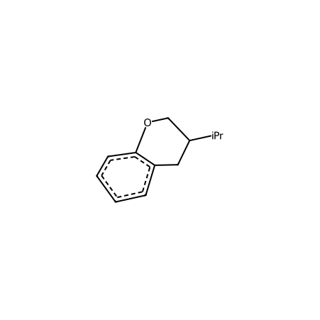 CC(C)C1COc2ccccc2C1